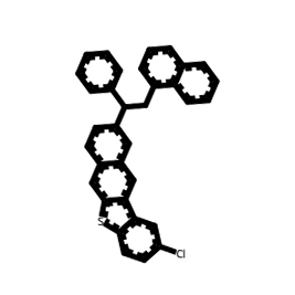 Clc1ccc2sc3cc4ccc(C(Cc5cccc6ccccc56)c5ccccc5)cc4cc3c2c1